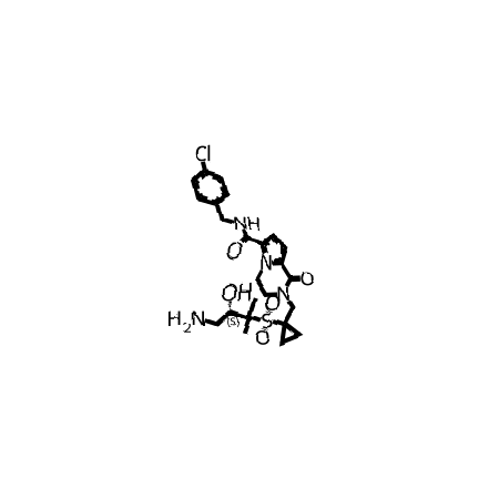 CC(C)([C@@H](O)CN)S(=O)(=O)C1(CN2CCn3c(C(=O)NCc4ccc(Cl)cc4)ccc3C2=O)CC1